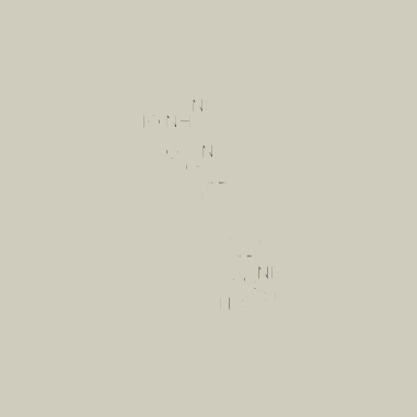 CS(=O)(=O)Nc1ccc(-c2ccc(C(=O)N[C@@H](CN)C(=O)NO)cc2)cc1